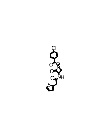 O=C(Cc1cccs1)NC1CN(OC(=O)c2ccc(Cl)cc2)C1=O